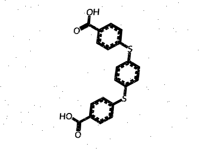 O=C(O)c1ccc(Sc2ccc(Sc3ccc(C(=O)O)cc3)cc2)cc1